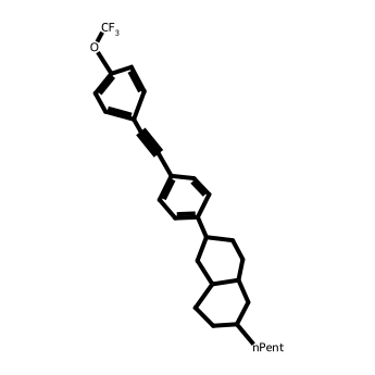 CCCCCC1CCC2CC(c3ccc(C#Cc4ccc(OC(F)(F)F)cc4)cc3)CCC2C1